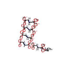 O=C([O-])/C=C/C(=O)[O-].O=C([O-])/C=C/C(=O)[O-].O=C([O-])/C=C/C(=O)[O-].O=C([O-])/C=C/C(=O)[O-].O=C([O-])/C=C/C(=O)[O-].[V+5].[V+5]